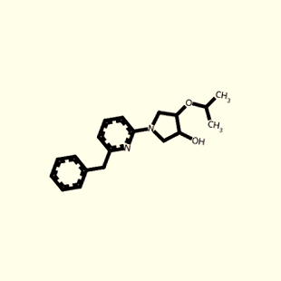 CC(C)OC1CN(c2cccc(Cc3ccccc3)n2)CC1O